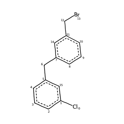 Clc1cccc(Cc2cccc(CBr)c2)c1